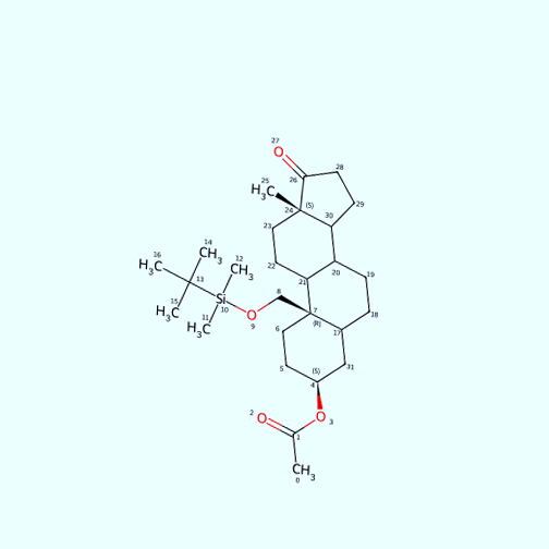 CC(=O)O[C@H]1CC[C@@]2(CO[Si](C)(C)C(C)(C)C)C(CCC3C2CC[C@]2(C)C(=O)CCC32)C1